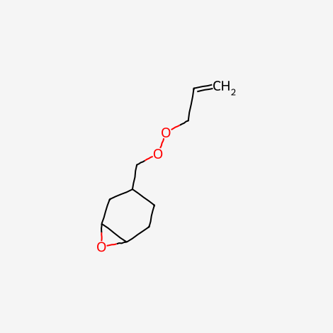 C=CCOOCC1CCC2OC2C1